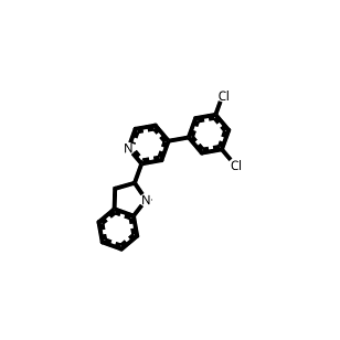 Clc1cc(Cl)cc(-c2ccnc(C3Cc4ccccc4[N]3)c2)c1